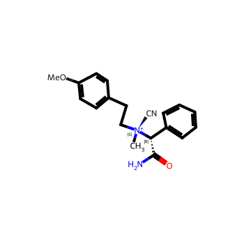 COc1ccc(CC[N@+](C)(C#N)[C@@H](C(N)=O)c2ccccc2)cc1